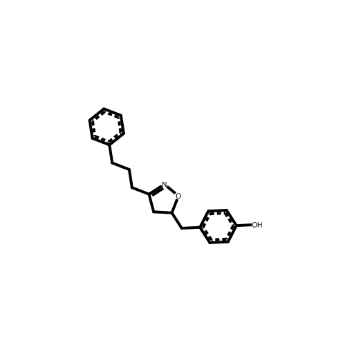 Oc1ccc(CC2CC(CCCc3ccccc3)=NO2)cc1